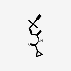 C#CC(C)(C)/C=C\C(=C)NC(=O)C1CC1